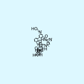 CCC[C@@H](CN(C)C)NC(=O)c1cc(-c2cccc(CN3O[C@@H](CNC(C)=O)[C@@H]([C@H](C)O)[C@H]3C(=O)N[C@H]3C[C@H]4C[C@@H]([C@@H]3C)C4(C)C)c2OC)cc(N(C)CCO)c1